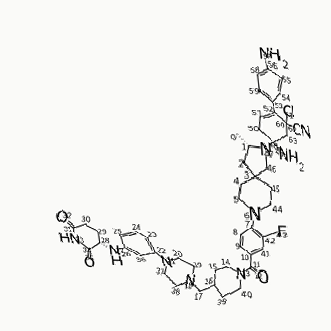 C[C@H]1CC2(CCN(c3ccc(C(=O)N4CCC(CN5CCN(c6cccc(N[C@H]7CCC(=O)NC7=O)c6)CC5)CC4)cc3F)CC2)CN1C1(N)CC=C(c2ccc(N)cc2)C(Cl)(C#N)C1